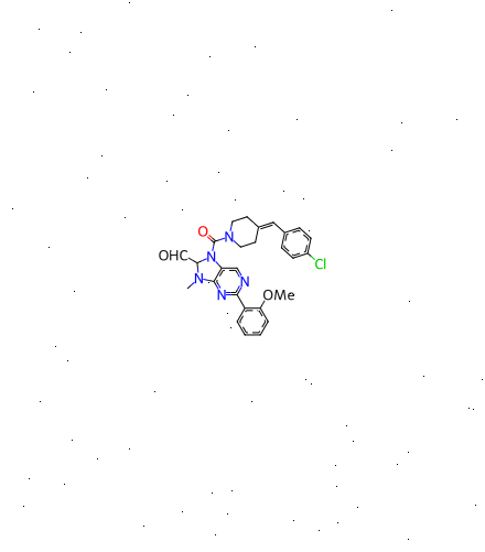 COc1ccccc1-c1ncc2c(n1)N(C)C(C=O)N2C(=O)N1CCC(=Cc2ccc(Cl)cc2)CC1